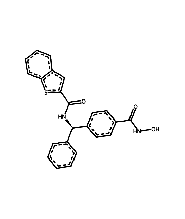 O=C(NO)c1ccc([C@H](NC(=O)c2cc3ccccc3s2)c2ccccc2)cc1